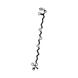 CC(C)(C)OC(=O)CCCCCOCCOCCOCCCCCCOS(C)(=O)=O